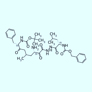 CC(C)C[C@H](NC(=O)OCc1ccccc1)C(=O)NNC(=O)C(=O)[C@@H](N)CC(C)CC(=O)[C@H](Cc1ccccc1)NC(=O)OC(C)(C)C